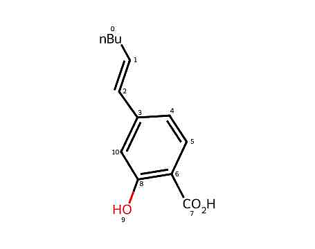 CCCCC=Cc1ccc(C(=O)O)c(O)c1